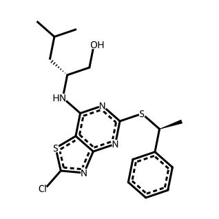 CC(C)C[C@H](CO)Nc1nc(S[C@@H](C)c2ccccc2)nc2nc(Cl)sc12